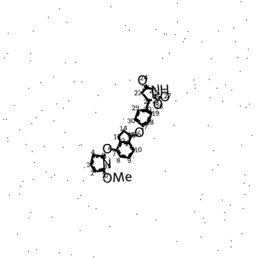 COc1cccc(Oc2cccc3c2CC[C@H]3Oc2ccc(C3CC(=O)NS3(=O)=O)cc2)n1